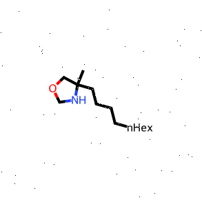 CCCCCCCCCCC1(C)COCN1